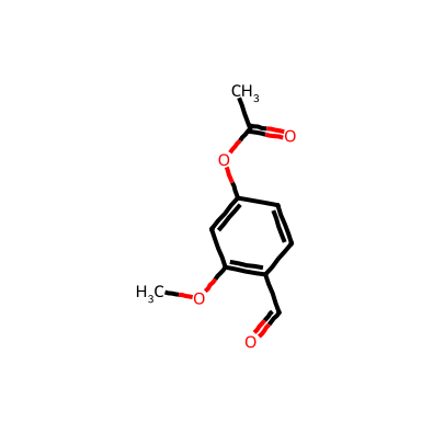 COc1cc(OC(C)=O)ccc1C=O